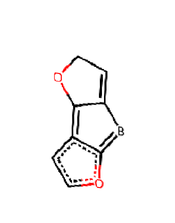 B1=c2occc2=C2OCC=C12